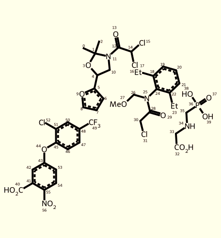 CC1(C)OC(c2ccco2)CN1C(=O)C(Cl)Cl.CCc1cccc(CC)c1N(COC)C(=O)CCl.O=C(O)CNCP(=O)(O)O.O=C(O)c1cc(Oc2ccc(C(F)(F)F)cc2Cl)ccc1[N+](=O)[O-]